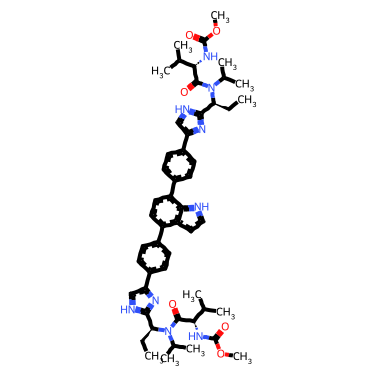 CC[C@@H](c1nc(-c2ccc(-c3ccc(-c4ccc(-c5c[nH]c([C@H](CC)N(C(=O)[C@@H](NC(=O)OC)C(C)C)C(C)C)n5)cc4)c4[nH]ccc34)cc2)c[nH]1)N(C(=O)[C@@H](NC(=O)OC)C(C)C)C(C)C